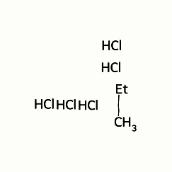 CCC.Cl.Cl.Cl.Cl.Cl